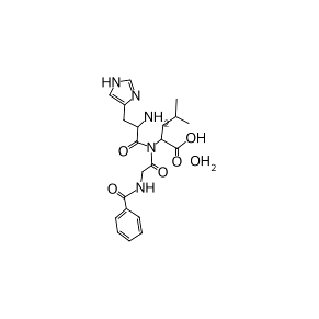 CC(C)CC(C(=O)O)N(C(=O)CNC(=O)c1ccccc1)C(=O)C(N)Cc1c[nH]cn1.O